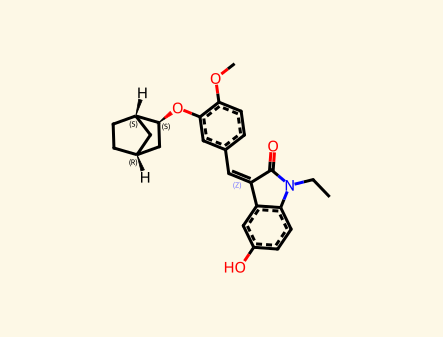 CCN1C(=O)/C(=C\c2ccc(OC)c(O[C@H]3C[C@@H]4CC[C@H]3C4)c2)c2cc(O)ccc21